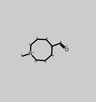 CN1CCCC(C=O)CCC1